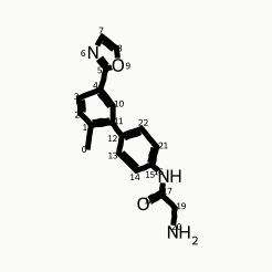 Cc1ccc(-c2ncco2)cc1-c1ccc(NC(=O)CN)cc1